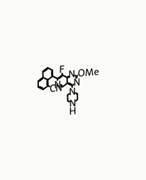 COc1nc(N2CCNCC2)c2cnc(-c3cccc4cccc(C#N)c34)c(F)c2n1